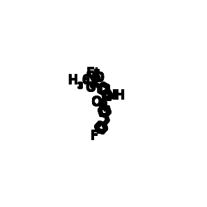 CCN(C)C(=O)C(=O)c1ccc2[nH]cc(C(=O)N3CCC(Cc4ccc(F)cc4)CC3)c2c1